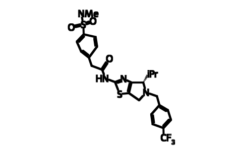 CNS(=O)(=O)c1ccc(CC(=O)Nc2nc3c(s2)CN(Cc2ccc(C(F)(F)F)cc2)[C@H]3C(C)C)cc1